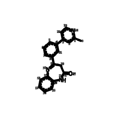 Cc1cc(-c2cccc(C3=Nc4ccccc4NC(=O)C3)c2)ccn1